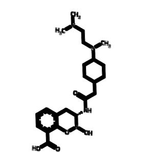 CN(C)CCN(C)C1CCC(CC(=O)N[C@H]2Cc3cccc(C(=O)O)c3OB2O)CC1